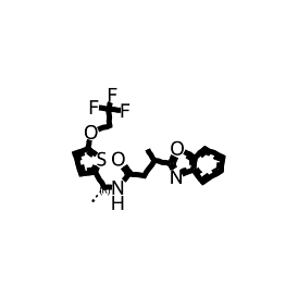 CC(CC(=O)N[C@H](C)c1ccc(OCC(F)(F)F)s1)c1nc2ccccc2o1